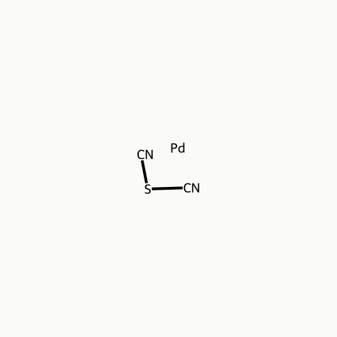 N#CSC#N.[Pd]